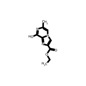 CCOC(=O)c1cn2cc(C)nc(O)c2n1